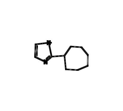 C1=CN=C(C2CCCCCC2)[N]1